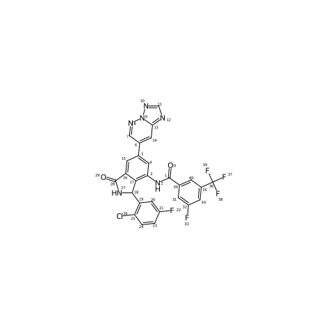 O=C(Nc1cc(-c2cnn3ncnc3c2)cc2c1C(c1cc(F)ccc1Cl)NC2=O)c1cc(F)cc(C(F)(F)F)c1